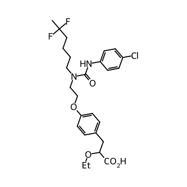 CCOC(Cc1ccc(OCCN(CCCCC(C)(F)F)C(=O)Nc2ccc(Cl)cc2)cc1)C(=O)O